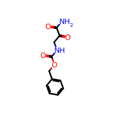 NC(=O)C(=O)CNC(=O)OCc1ccccc1